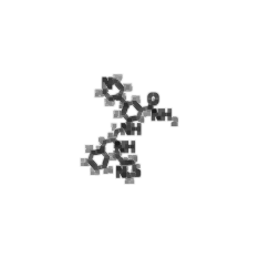 NC(=O)c1cc(NC[C@H](Cc2ccccc2)NCc2cscn2)cc(-c2ccncc2)c1